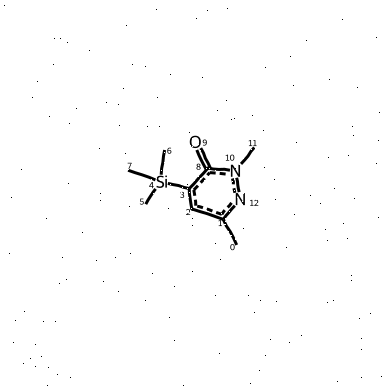 Cc1cc([Si](C)(C)C)c(=O)n(C)n1